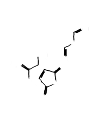 C=C(CC(=O)O)C(=O)O.C=COC=C.O=C1C=CC(=O)O1